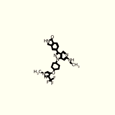 CCNc1cc2c(cn1)c(-c1ccc3c(c1)CNC3=O)nn2C1CCC(Oc2cn(C)nc2C(F)(F)F)CC1